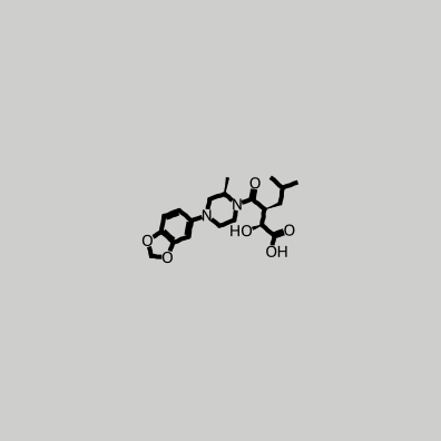 CC(C)C[C@H](C(=O)N1CCN(c2ccc3c(c2)OCO3)C[C@H]1C)[C@H](O)C(=O)O